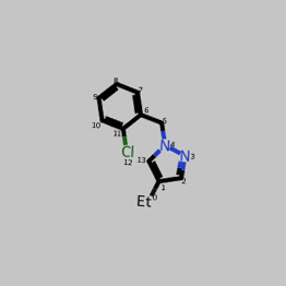 CCc1cnn(Cc2ccccc2Cl)c1